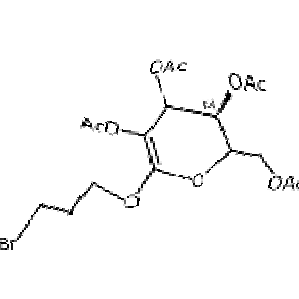 CC(=O)OCC1OC(OCCCBr)=C(OC(C)=O)C(OC(C)=O)[C@H]1OC(C)=O